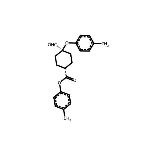 Cc1ccc(OC(=O)[C@H]2CC[C@](C=O)(Oc3ccc(C)cc3)CC2)cc1